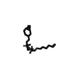 C=CCCCCCC[Si](C)(C)O[Si](C)(C)CCC1CCC2OC2C1